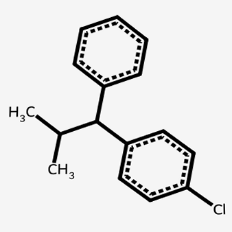 CC(C)C(c1ccccc1)c1ccc(Cl)cc1